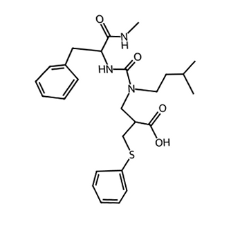 CNC(=O)C(Cc1ccccc1)NC(=O)N(CCC(C)C)CC(CSc1ccccc1)C(=O)O